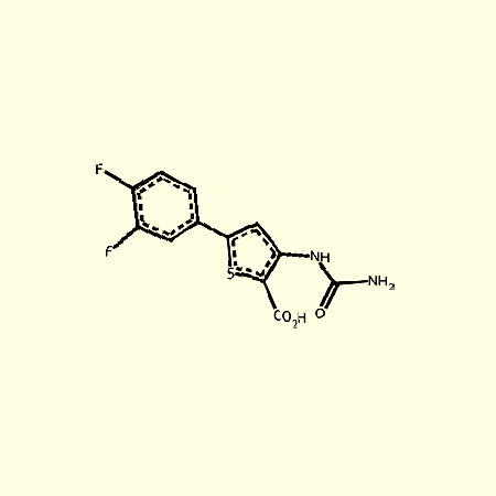 NC(=O)Nc1cc(-c2ccc(F)c(F)c2)sc1C(=O)O